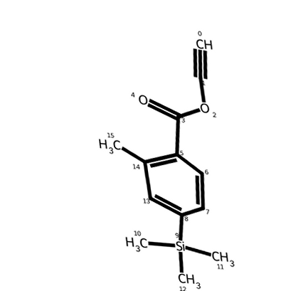 C#COC(=O)c1ccc([Si](C)(C)C)cc1C